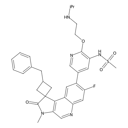 CC(C)NCCOc1ncc(-c2cc3c4c(cnc3cc2F)N(C)C(=O)C42CC(Cc3ccccc3)C2)cc1NS(C)(=O)=O